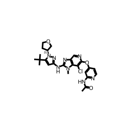 CC(=O)Nc1cc(Oc2ncc3nc(Nc4cc(C(C)(C)C)n([C@H]5CCOC5)n4)n(C)c3c2Cl)ccn1